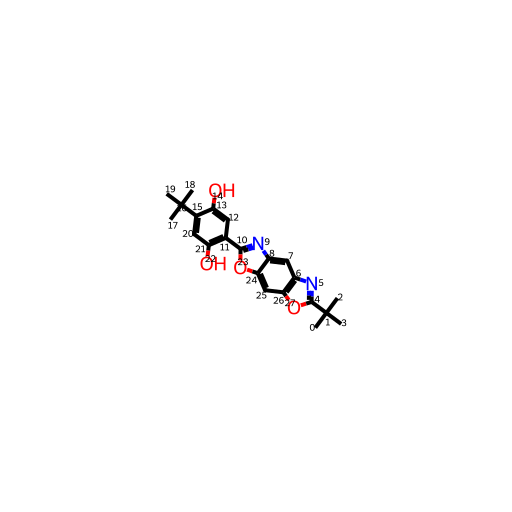 CC(C)(C)c1nc2cc3nc(-c4cc(O)c(C(C)(C)C)cc4O)oc3cc2o1